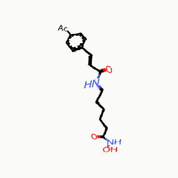 CC(=O)c1ccc(/C=C/C(=O)NCCCCCC(=O)NO)cc1